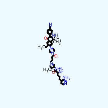 CCc1cc2c(cc1N1CCN(C(=O)CCCN3C[C@H](NC(=O)[C@@H](N)CCCc4ccnnc4N)C(C)(C)C3)CC1)C(C)(C)c1[nH]c3cc(C#N)ccc3c1C2=O